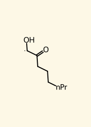 CCCCCCC(=O)[CH]O